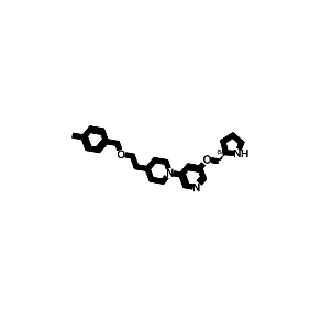 Cc1ccc(COCCC2CCN(c3cncc(OC[C@@H]4CCCN4)c3)CC2)cc1